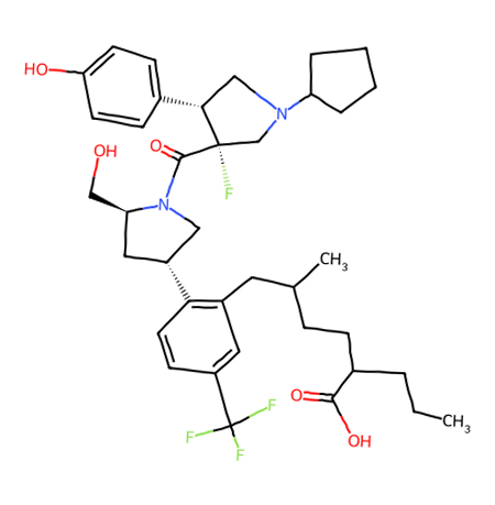 CCCC(CCC(C)Cc1cc(C(F)(F)F)ccc1[C@@H]1C[C@@H](CO)N(C(=O)[C@]2(F)CN(C3CCCC3)C[C@H]2c2ccc(O)cc2)C1)C(=O)O